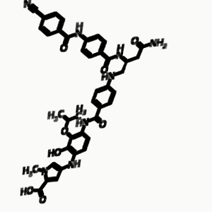 CC(C)Oc1c(NC(=O)c2ccc(NC[C@H](CC(N)=O)NC(=O)c3ccc(NC(=O)c4ccc(C#N)cc4)cc3)cc2)ccc(Nc2cc(C(=O)O)n(C)c2)c1O